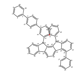 c1ccc(-c2ccc(-c3cccc(-n4c5ccccc5c5ccc6c7c(-c8ccccc8)cccc7n(-c7ccccc7)c6c54)c3)cc2)cc1